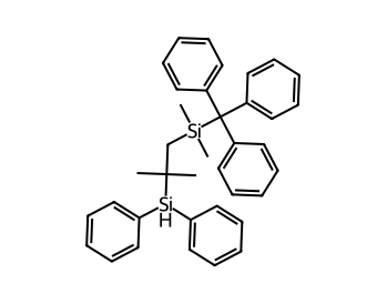 CC(C)(C[Si](C)(C)C(c1ccccc1)(c1ccccc1)c1ccccc1)[SiH](c1ccccc1)c1ccccc1